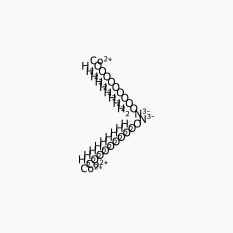 O.O.O.O.O.O.O.O.O.O.O.O.O.O.O.O.O.O.[Co+2].[Co+2].[Co+2].[N-3].[N-3]